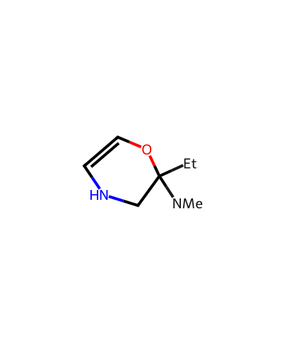 CCC1(NC)CNC=CO1